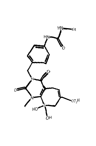 CCNC(=O)Nc1ccc(Cn2c(=O)c3c(n(C)c2=O)S(O)(O)CC(C(=O)O)=C3)cc1